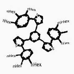 CCCCCCc1ccc(-c2sccc2-c2cc(-c3ccsc3-c3ccc(CCCCCC)c(CCCCCC)c3CCCCCC)cc(-c3ccsc3-c3ccc(CCCCCC)c(CCCCCC)c3CCCCCC)c2)c(CCCCCC)c1C